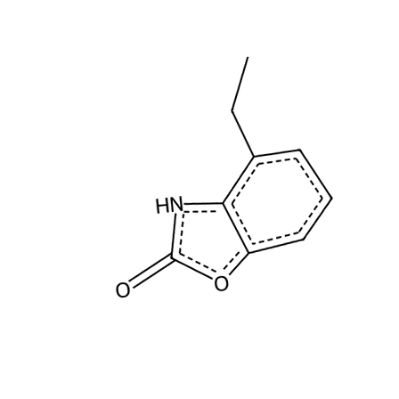 CCc1cccc2oc(=O)[nH]c12